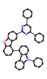 c1ccc(-c2cc(-c3ccccc3)nc(-c3ccc4oc5cccc(-c6cccc7c6c6ccccc6n7-c6ccccc6)c5c4c3)n2)cc1